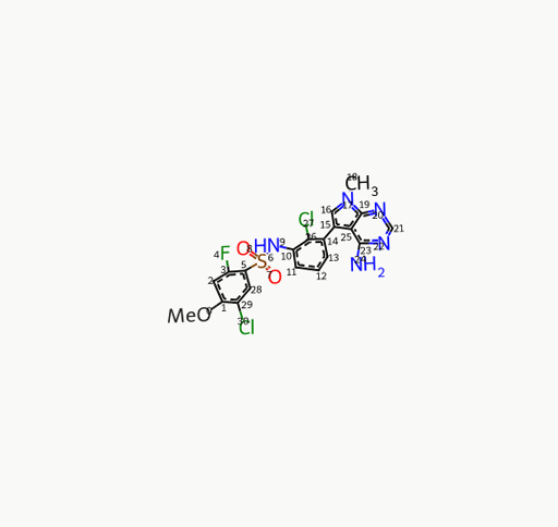 COc1cc(F)c(S(=O)(=O)Nc2cccc(-c3cn(C)c4ncnc(N)c34)c2Cl)cc1Cl